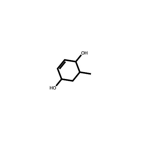 CC1CC(O)C=CC1O